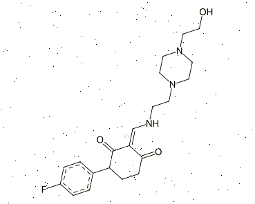 O=C1CCC(c2ccc(F)cc2)C(=O)/C1=C/NCCN1CCN(CCO)CC1